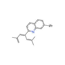 C=C(C)/C=C(\C=C(C)C)c1ccc2ccc(C(C)C)cc2n1